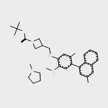 CN1CCC[C@H]1CNc1cc(-c2cc(O)cc3ccccc23)c(Cl)cc1NCC1CN(C(=O)OC(C)(C)C)C1